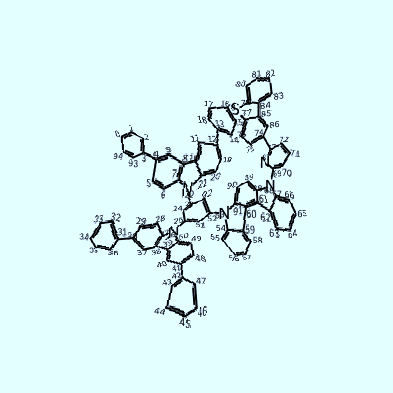 c1ccc(-c2ccc3c(c2)c2cc(-c4ccccc4)ccc2n3-c2cc(-n3c4ccc(-c5ccccc5)cc4c4cc(-c5ccccc5)ccc43)cc(-n3c4ccccc4c4c5c6ccccc6n(-c6cccc(-c7ccc8sc9ccccc9c8c7)n6)c5ccc43)c2)cc1